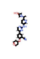 CC(c1ccc(Nc2nccc(-c3ccc(OC4CCOCC4)c(C#N)c3)n2)cn1)N1CC(O)C1